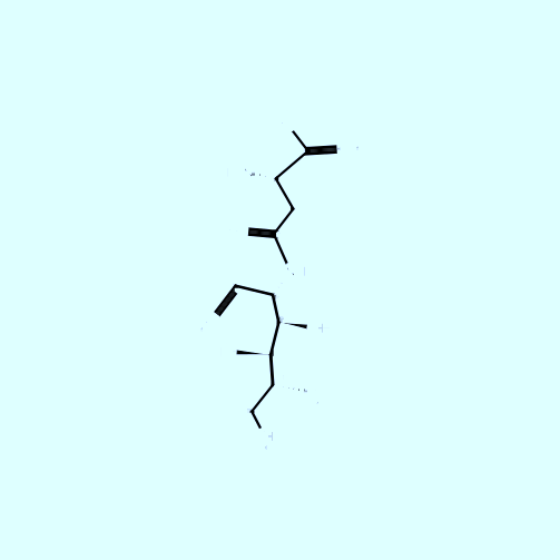 N[C@@H](CC(=O)N[C@@H](C=O)[C@@H](O)[C@H](O)[C@H](O)CO)C(=O)O